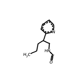 CCCC(CN[C]=O)c1ccccn1